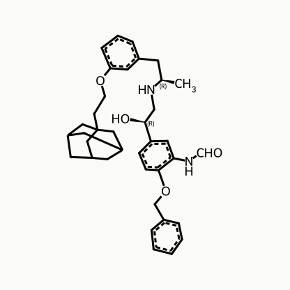 C[C@H](Cc1cccc(OCCC23CC4CC(CC(C4)C2)C3)c1)NC[C@H](O)c1ccc(OCc2ccccc2)c(NC=O)c1